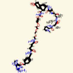 CCCO[C@H](C[C@H](C(C)C)N(CCC)C(=O)[C@@H](NC(=O)[C@H]1CCCCN1C)[C@@H](C)CC)c1nc(C(=O)N[C@H]2Cc3ccc(O)cc3[C@H](C(=O)NNC(=O)OCCOCCOCCOCCNC(=O)CCCC(=O)NCc3ccc(COc4nc(N)nc5[nH]cnc45)cc3)C2)cs1